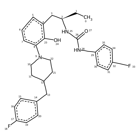 CC[C@H](Cc1cccc(N2CCC(Cc3ccc(F)cc3)CC2)c1O)NC(=O)Nc1ccc(F)cc1